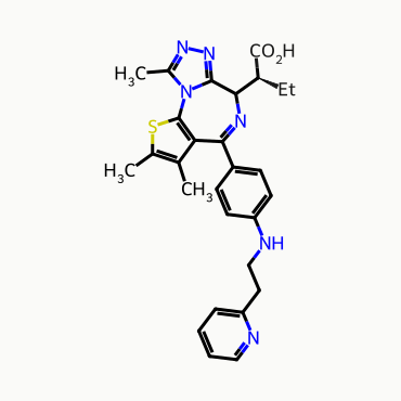 CC[C@H](C(=O)O)C1N=C(c2ccc(NCCc3ccccn3)cc2)c2c(sc(C)c2C)-n2c(C)nnc21